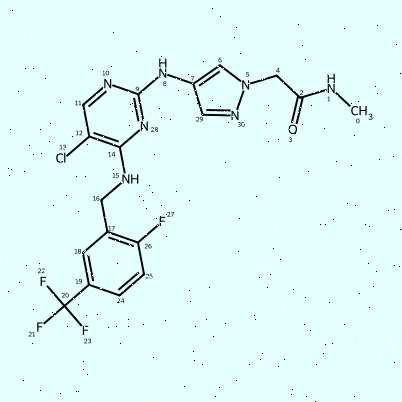 CNC(=O)Cn1cc(Nc2ncc(Cl)c(NCc3cc(C(F)(F)F)ccc3F)n2)cn1